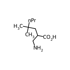 CCCC(C)(C)CC(CN)C(=O)O